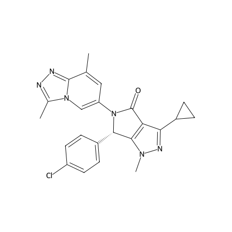 Cc1cc(N2C(=O)c3c(C4CC4)nn(C)c3[C@@H]2c2ccc(Cl)cc2)cn2c(C)nnc12